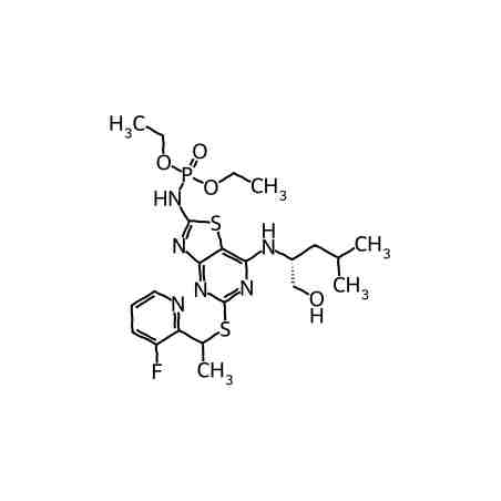 CCOP(=O)(Nc1nc2nc(SC(C)c3ncccc3F)nc(N[C@@H](CO)CC(C)C)c2s1)OCC